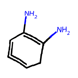 NC1=C(N)CC=C=C1